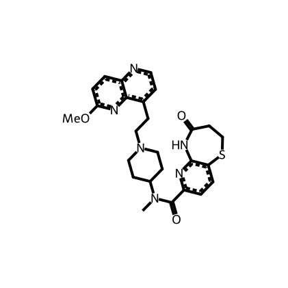 COc1ccc2nccc(CCN3CCC(N(C)C(=O)c4ccc5c(n4)NC(=O)CCS5)CC3)c2n1